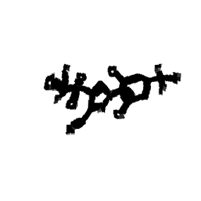 N#Cc1nn(-c2c(Cl)cc(C(F)(F)F)cc2Cl)cc1S(=O)(=O)C(F)(F)Cl